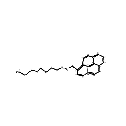 SCCCCCCCCOCc1ccc2ccc3cccc4ccc1c2c34